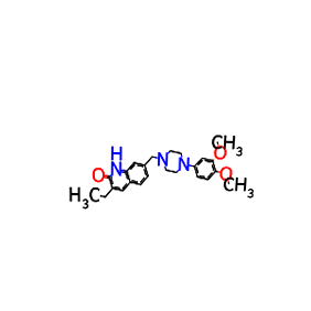 CCc1cc2ccc(CN3CCN(c4ccc(OC)c(OC)c4)CC3)cc2[nH]c1=O